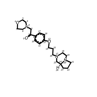 O=C(CN1CCOCC1)c1ccc(OCCCN2CCN3CCC[C@H]3C2)cc1